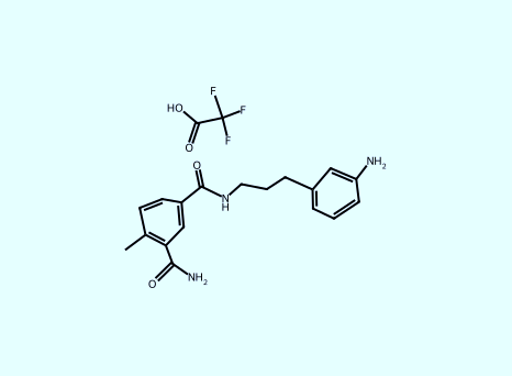 Cc1ccc(C(=O)NCCCc2cccc(N)c2)cc1C(N)=O.O=C(O)C(F)(F)F